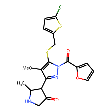 COc1c(C2C(=O)CNC2C)nn(C(=O)c2ccco2)c1SCc1ccc(Cl)s1